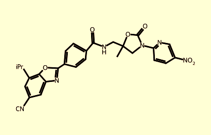 [C-]#[N+]c1cc(C(C)C)c2oc(-c3ccc(C(=O)NCC4(C)CN(c5ccc([N+](=O)[O-])cn5)C(=O)O4)cc3)nc2c1